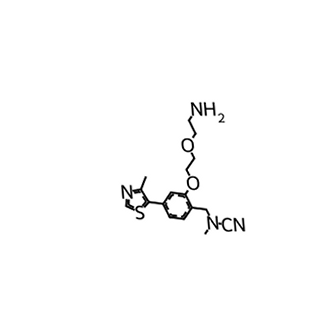 Cc1ncsc1-c1ccc(CN(C)C#N)c(OCCOCCN)c1